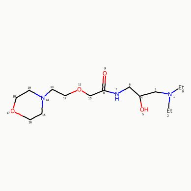 CCN(CC)CC(O)CNC(=O)COCCN1CCOCC1